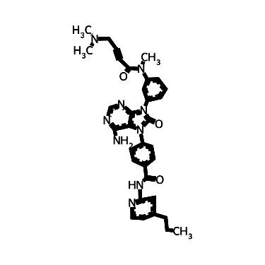 CCCc1ccnc(NC(=O)c2ccc(-n3c(=O)n(-c4cccc(N(C)C(=O)C#CCN(C)C)c4)c4ncnc(N)c43)cc2)c1